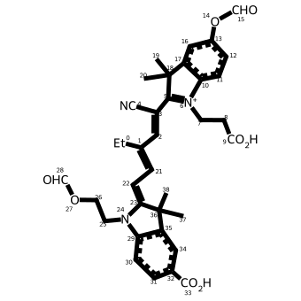 CCC(/C=C(\C#N)C1=[N+](CCC(=O)O)c2ccc(OC=O)cc2C1(C)C)=C\C=C1\N(CCOC=O)c2ccc(C(=O)O)cc2C1(C)C